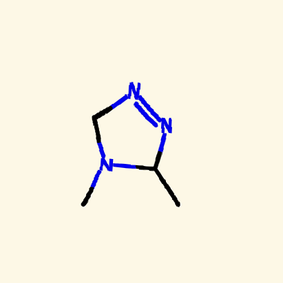 CC1N=NCN1C